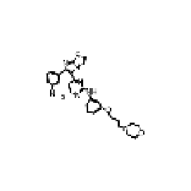 Nc1cccc(-c2nc3sccn3c2-c2ccnc(Nc3cccc(OCCCN4CCOCC4)c3)n2)c1